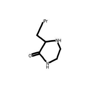 CC(C)CC1NCCNC1=O